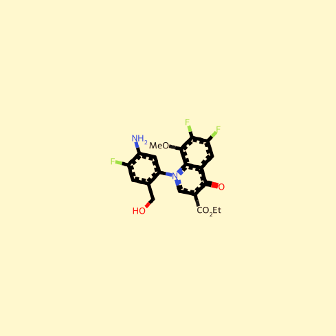 CCOC(=O)c1cn(-c2cc(N)c(F)cc2CO)c2c(OC)c(F)c(F)cc2c1=O